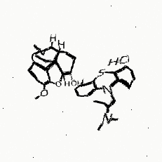 CC(CN1c2ccccc2Sc2ccccc21)N(C)C.COc1ccc2c3c1O[C@H]1[C@@H](O)C=C[C@H]4[C@@H](C2)N(C)CC[C@@]341.Cl